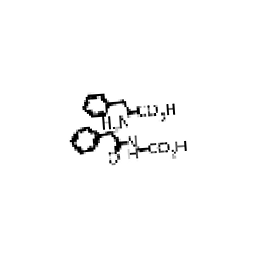 NC(Cc1ccccc1)C(=O)O.O=C(O)CNC(=O)Cc1ccccc1